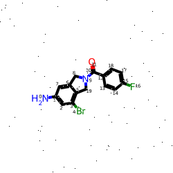 Nc1cc(Br)c2c(c1)CN(C(=O)c1ccc(F)cc1)C2